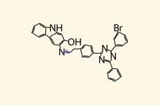 Oc1cc2[nH]c3ccccc3c2cc1/N=C\Cc1ccc(-c2nc(-c3ccccc3)nc(-c3cccc(Br)c3)n2)cc1